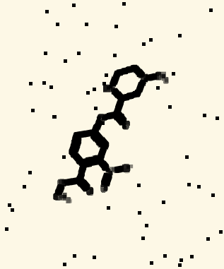 COC(=O)c1ccc(OC(=O)C2CN(C)CCN2)cc1[N+](=O)[O-]